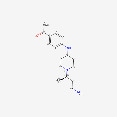 COC(=O)c1ccc(NC2CCN([C@H](C)CCN)CC2)cc1